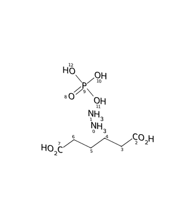 N.N.O=C(O)CCCCC(=O)O.O=P(O)(O)O